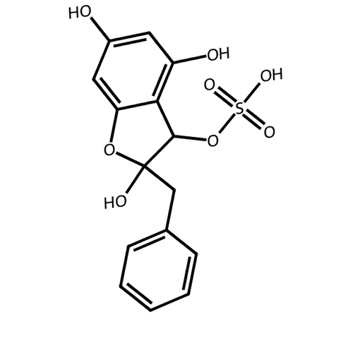 O=S(=O)(O)OC1c2c(O)cc(O)cc2OC1(O)Cc1ccccc1